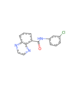 O=C(Nc1cccc(Cl)c1)c1cccc2nccnc12